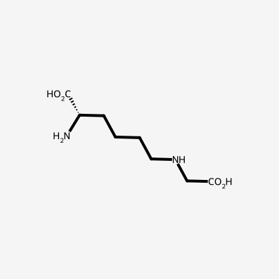 N[C@@H](CCCCNCC(=O)O)C(=O)O